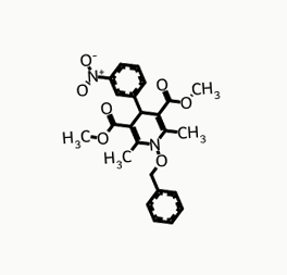 COC(=O)C1=C(C)N(OCc2ccccc2)C(C)=C(C(=O)OC)C1c1cccc([N+](=O)[O-])c1